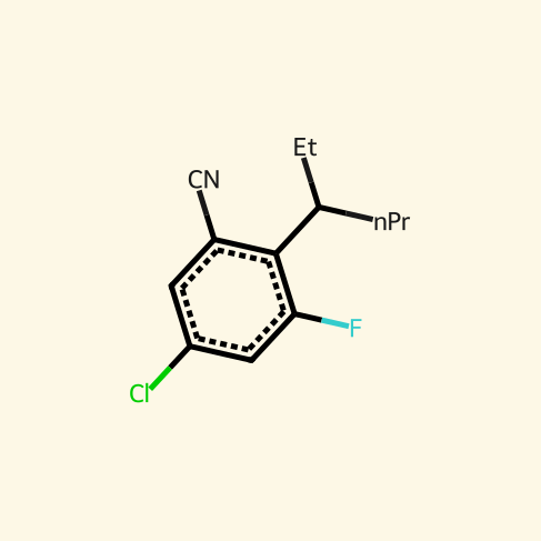 CCCC(CC)c1c(F)cc(Cl)cc1C#N